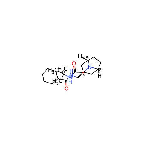 CC(C)(C)NC(=O)CN1[C@@H]2CC[C@H]1C[C@H](CNC(=O)C1CCCCC1)C2